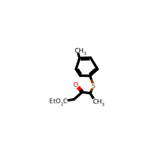 CCOC(=O)CC(=O)C(C)Sc1ccc(C)cc1